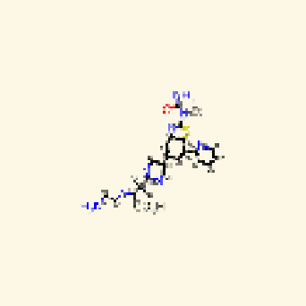 CCN(C(N)=O)c1nc2cc(-c3cnc(C(C)(C)C(NCCN)C(=O)O)nc3)cc(-c3ccccn3)c2s1